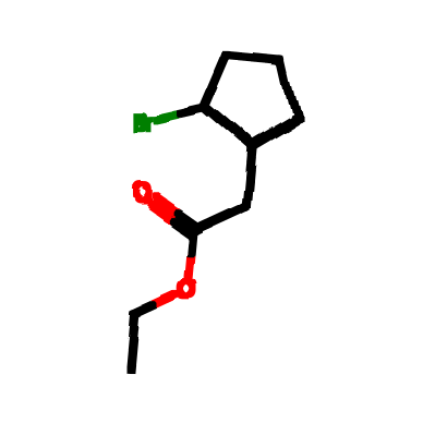 CCOC(=O)CC1CCCC1Br